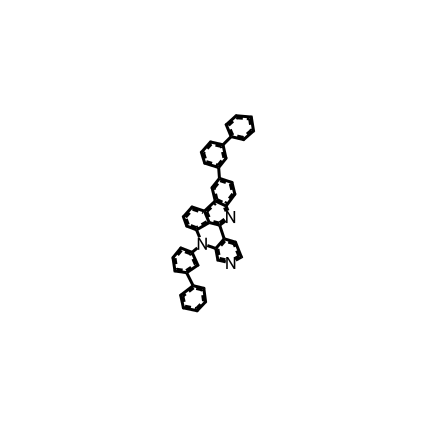 c1ccc(-c2cccc(-c3ccc4nc5c6c(cccc6c4c3)N(c3cccc(-c4ccccc4)c3)c3cnccc3-5)c2)cc1